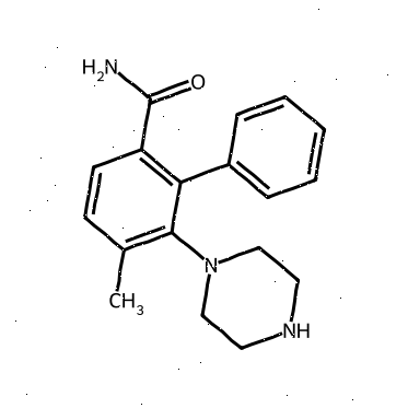 Cc1ccc(C(N)=O)c(-c2ccccc2)c1N1CCNCC1